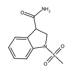 CS(=O)(=O)N1CC(C(N)=O)c2ccccc21